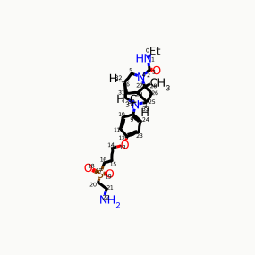 CCNC(=O)N1C[C@@H]2CN(c3ccc(OCCCS(=O)(=O)CCN)cc3)[C@@H]3CC1(C)C3(C)C2